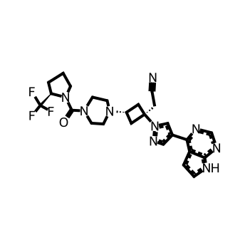 N#CC[C@]1(n2cc(-c3ncnc4[nH]ccc34)cn2)C[C@H](N2CCN(C(=O)N3CCC[C@@H]3C(F)(F)F)CC2)C1